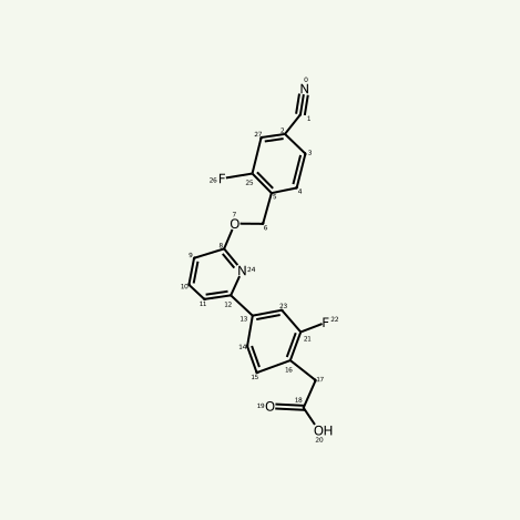 N#Cc1ccc(COc2cccc(-c3ccc(CC(=O)O)c(F)c3)n2)c(F)c1